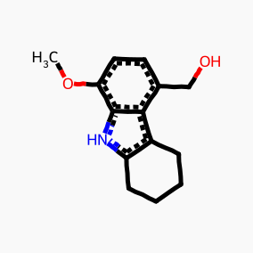 COc1ccc(CO)c2c3c([nH]c12)CCCC3